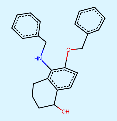 OC1CCCc2c1ccc(OCc1ccccc1)c2NCc1ccccc1